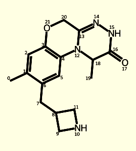 Cc1cc2c(cc1CC1CNC1)N1C(=NNC(=O)C1C)CO2